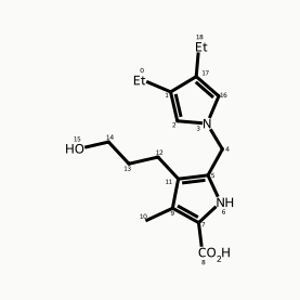 CCc1cn(Cc2[nH]c(C(=O)O)c(C)c2CCCO)cc1CC